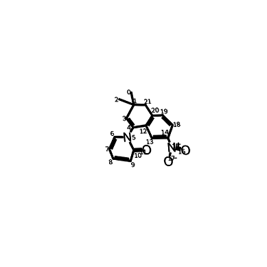 CC1(C)C=C(n2ccccc2=O)c2cc([N+](=O)[O-])ccc2C1